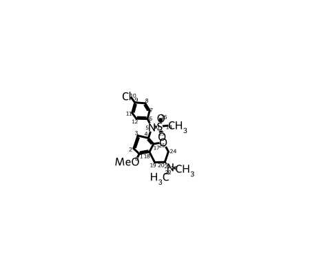 COc1ccc(N(c2ccc(Cl)cc2)S(C)(=O)=O)c2c1C[C@@H](N(C)C)CO2